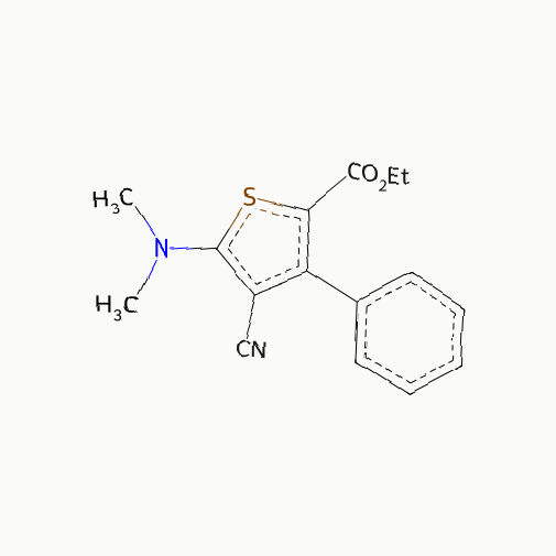 CCOC(=O)c1sc(N(C)C)c(C#N)c1-c1ccccc1